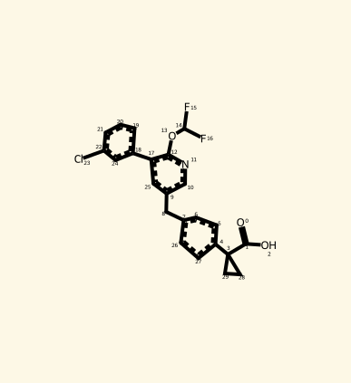 O=C(O)C1(c2ccc(Cc3cnc(OC(F)F)c(-c4cccc(Cl)c4)c3)cc2)CC1